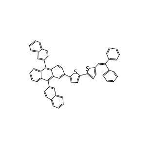 C(=C(c1ccccc1)c1ccccc1)c1ccc(-c2ccc(-c3ccc4c(-c5ccc6ccccc6c5)c5ccccc5c(-c5ccc6ccccc6c5)c4c3)s2)s1